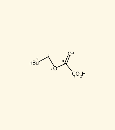 CCCCCOC(=O)C(=O)O